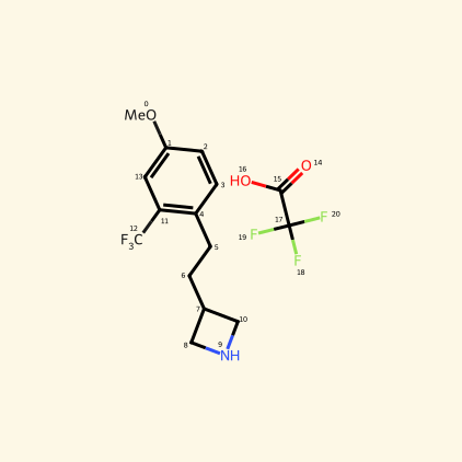 COc1ccc(CCC2CNC2)c(C(F)(F)F)c1.O=C(O)C(F)(F)F